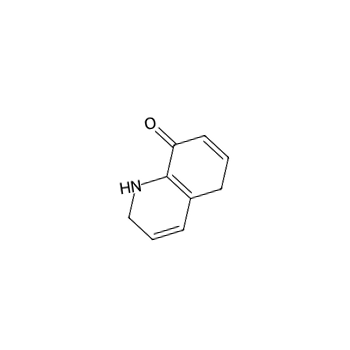 O=C1C=CCC2=C1NCC=C2